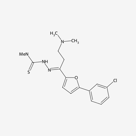 CNC(=S)NN=C(CCN(C)C)c1ccc(-c2cccc(Cl)c2)o1